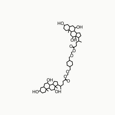 CC(CCC(=O)OCOCC1CCC(COCOC(=O)CCC(C)C2CCC3C4C(O)CC5CC(O)CCC5(C)C4CC(O)C23C)CC1)C1CCC2C3C(O)CC4CC(O)CCC4(C)C3CC(O)C12C